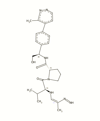 C/C(=C/N[C@H](C(=O)N1CCC[C@H]1C(=O)N[C@@H](CO)c1ccc(-c2ccnnc2C)cc1)C(C)C)N=N